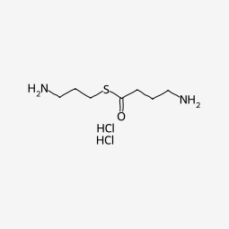 Cl.Cl.NCCCSC(=O)CCCN